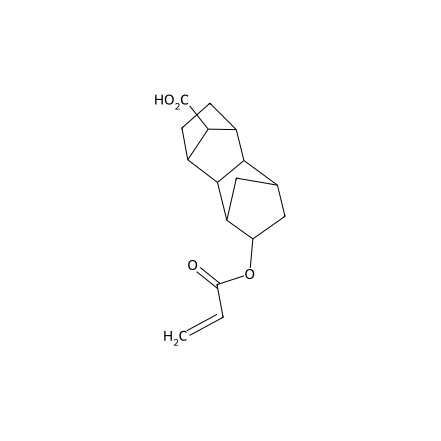 C=CC(=O)OC1CC2CC1C1C3CCC(C3C(=O)O)C21